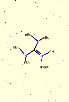 CCCCN(CCCC)C(N(CCCC)CCCC)=[N+](C)[C@@H](C)CCC